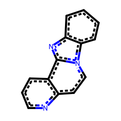 c1ccc2c(c1)nc1c3cccnc3ccn21